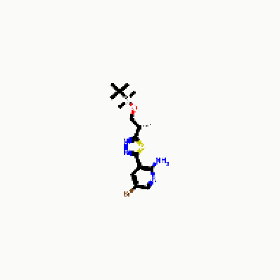 C[C@@H](CO[Si](C)(C)C(C)(C)C)c1nnc(-c2cc(Br)cnc2N)s1